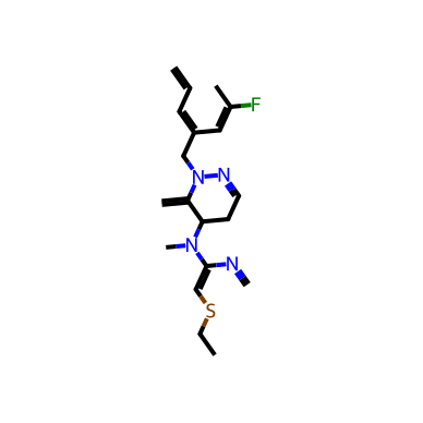 C=C/C=C(\C=C(/C)F)CN1N=CCC(N(C)/C(=C/SCC)N=C)C1=C